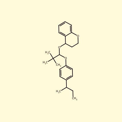 CCC(C)c1ccc(OC(OC2CCOc3ccccc32)C(C)(C)C)cc1